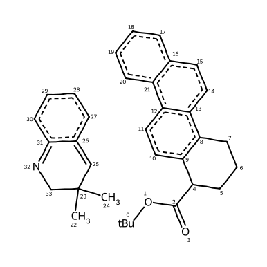 CC(C)(C)OC(=O)C1CCCc2c1ccc1c2ccc2ccccc21.CC1(C)C=c2ccccc2=NC1